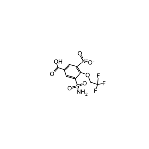 NS(=O)(=O)c1cc(C(=O)O)cc([N+](=O)[O-])c1OCC(F)(F)F